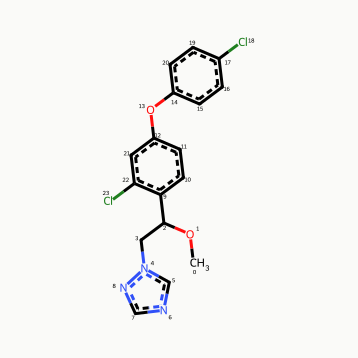 COC(Cn1cncn1)c1ccc(Oc2ccc(Cl)cc2)cc1Cl